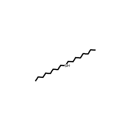 CCCCCCCC[SiH]CCCCCCCC